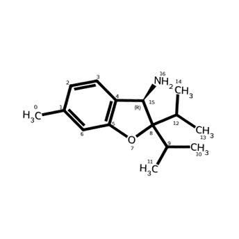 Cc1ccc2c(c1)OC(C(C)C)(C(C)C)[C@@H]2N